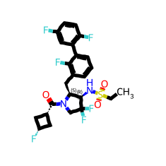 CCS(=O)(=O)N[C@@H]1[C@H](Cc2cccc(-c3cc(F)ccc3F)c2F)N(C(=O)[C@H]2C[C@@H](F)C2)CC1(F)F